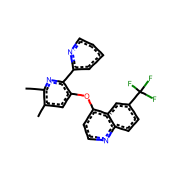 Cc1cc(Oc2ccnc3ccc(C(F)(F)F)cc23)c(-c2ccccn2)nc1C